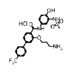 CS(=O)(=O)Nc1cc(NC(=O)c2ccc(-c3ccc(C(F)(F)F)cc3)cc2OCCCN)ccc1O.Cl